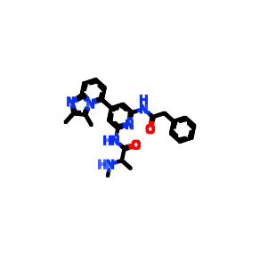 CNC(C)C(=O)Nc1cc(-c2cccc3nc(C)c(C)n23)cc(NC(=O)Cc2ccccc2)n1